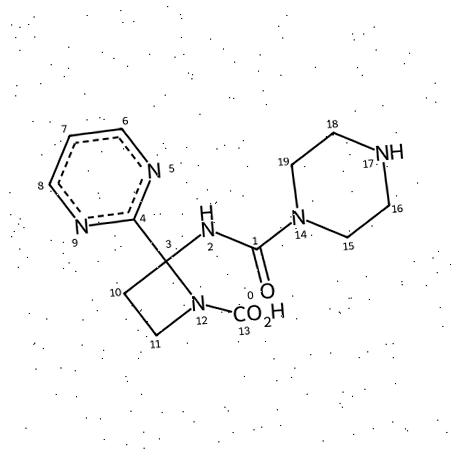 O=C(NC1(c2ncccn2)CCN1C(=O)O)N1CCNCC1